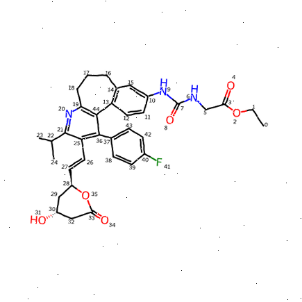 CCOC(=O)CNC(=O)Nc1ccc2c(c1)CCCc1nc(C(C)C)c(/C=C/[C@@H]3C[C@@H](O)CC(=O)O3)c(-c3ccc(F)cc3)c1-2